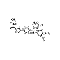 C=C(C)N(C(=S)N(C)c1ccc(-c2cnn(C(=O)NCC)c2)cc1)c1cnc(C#N)c(C)c1